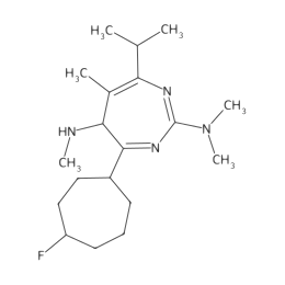 CNC1C(C2CCCC(F)CC2)=NC(N(C)C)=NC(C(C)C)=C1C